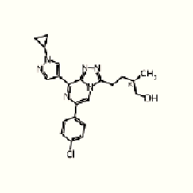 C[C@@H](CO)CCc1nnc2c(-c3cnn(C4CC4)c3)nc(-c3ccc(Cl)cc3)cn12